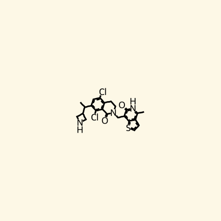 Cc1[nH]c(=O)c(CN2CCc3c(Cl)cc(C(C)C4CNC4)c(Cl)c3C2=O)c2sccc12